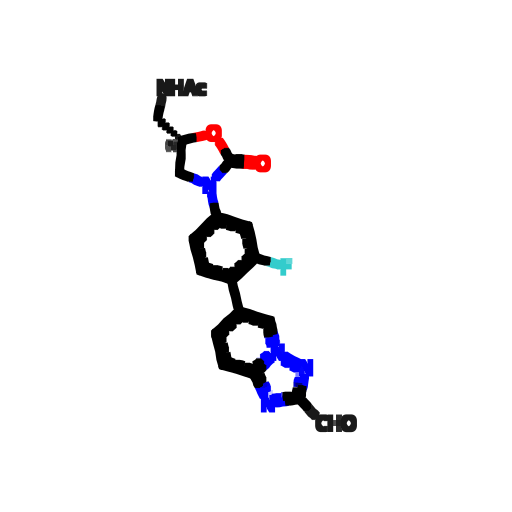 CC(=O)NC[C@H]1CN(c2ccc(-c3ccc4nc(C=O)nn4c3)c(F)c2)C(=O)O1